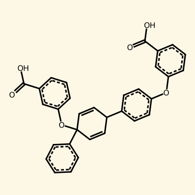 O=C(O)c1cccc(Oc2ccc(C3C=CC(Oc4cccc(C(=O)O)c4)(c4ccccc4)C=C3)cc2)c1